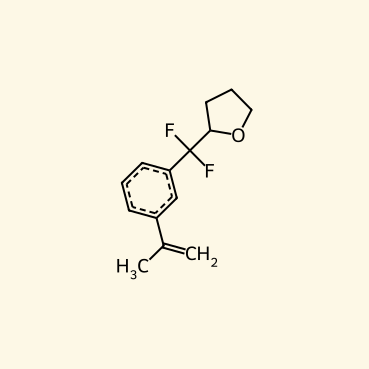 C=C(C)c1cccc(C(F)(F)C2CCCO2)c1